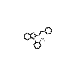 FC(F)(F)c1cccnc1-n1c(C=Cc2ccccc2)nc2ccccc21